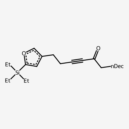 CCCCCCCCCCCC(=O)C#CCCc1coc([Si](CC)(CC)CC)c1